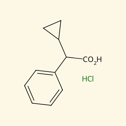 Cl.O=C(O)C(c1ccccc1)C1CC1